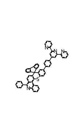 c1ccc(-c2nc3ccccc3c3c4c(ccc23)C2(c3cc(-c5ccc(-c6cc(-c7ccccn7)nc(-c7ccccn7)c6)cc5)ccc3S4)c3ccccc3-c3ccccc32)cc1